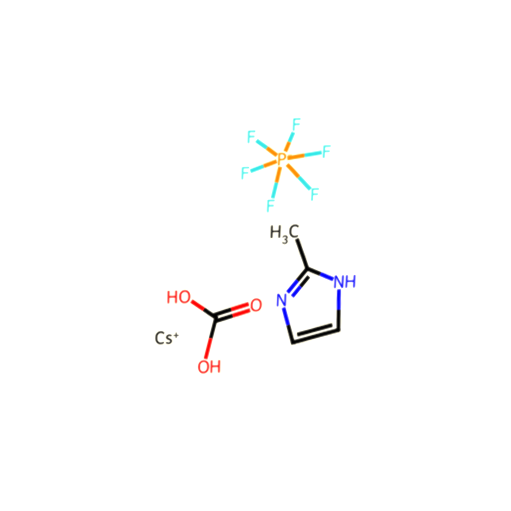 Cc1ncc[nH]1.F[P-](F)(F)(F)(F)F.O=C(O)O.[Cs+]